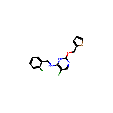 FC1=C(NCc2ccccc2F)NC(OCc2cccs2)N=C1